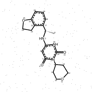 C[C@H](Nc1cc(=O)n(C2CCOCC2)c(=O)[nH]1)c1cccc2c1CCO2